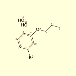 [B+2]c1cccc(OCCC)c1.[OH-].[OH-]